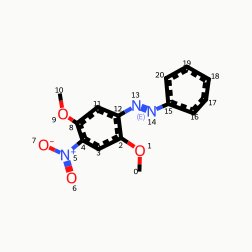 COc1cc([N+](=O)[O-])c(OC)cc1/N=N/c1ccccc1